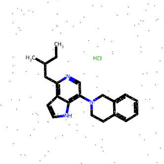 CCC(C)Cc1ncc(N2CCc3ccccc3C2)c2[nH]ccc12.Cl